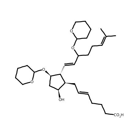 CC(C)=CCCC(C=C[C@@H]1[C@@H](CC=CCCCC(=O)O)[C@@H](O)C[C@H]1OC1CCCCO1)OC1CCCCO1